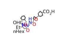 CCCCCC[C@@H](C(=O)NCNC(=O)c1ccc(-c2ccc(C(=O)O)cc2)o1)[C@@H](CC)N(C=O)OCc1ccccc1